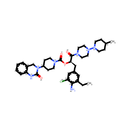 CCc1cc(C[C@@H](OC(=O)N2CCC(N3Cc4ccccc4NC3=O)CC2)C(=O)N2CCN(N3CCC(C)CC3)CC2)cc(Cl)c1N